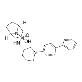 O=C(N[C@H]1CCCN(c2ccc(-c3ccccc3)cc2)C1)N1[C@@H]2CC[C@H]1C[C@@H](O)C2